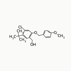 COc1ccc(COc2cc(Cl)c(C(C)(C)C)cc2CO)cc1